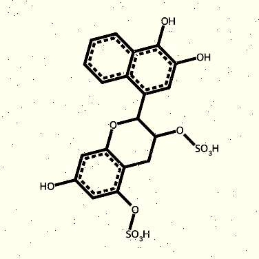 O=S(=O)(O)Oc1cc(O)cc2c1CC(OS(=O)(=O)O)C(c1cc(O)c(O)c3ccccc13)O2